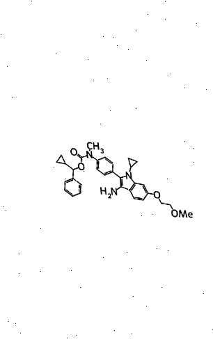 COCCOc1ccc2c(N)c(-c3ccc(N(C)C(=O)OC(c4ccccc4)C4CC4)cc3)n(C3CC3)c2c1